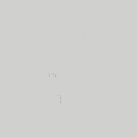 CC(C)(C)OC=O.O=c1[nH]c2ccc(I)cc2[nH]1